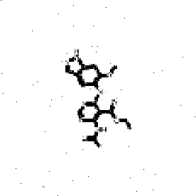 CCOC(=O)c1c(NC(C)=O)ncnc1Nc1cc2cn[nH]c2cc1OC